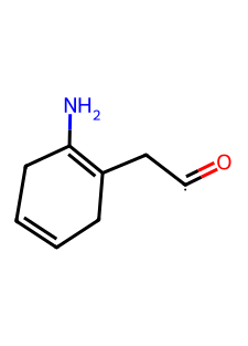 NC1=C(C[C]=O)CC=CC1